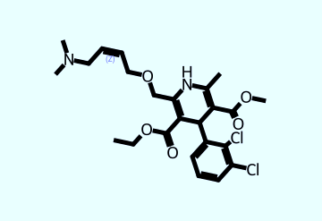 CCOC(=O)C1=C(COC/C=C\CN(C)C)NC(C)=C(C(=O)OC)C1c1cccc(Cl)c1Cl